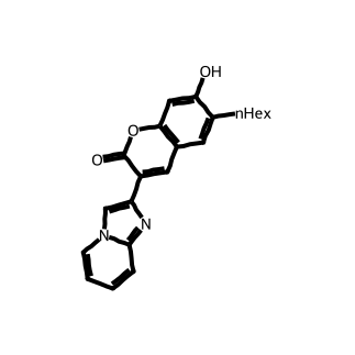 CCCCCCc1cc2cc(-c3cn4ccccc4n3)c(=O)oc2cc1O